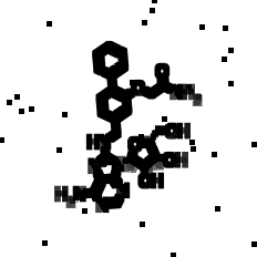 NC(=O)COc1cc(CNc2nc3c(N)ncnc3n2[C@@H]2O[C@H](CO)[C@@H](O)[C@H]2O)ccc1-c1ccccc1